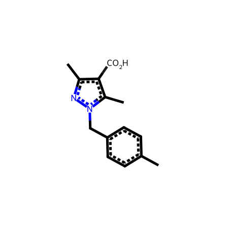 Cc1ccc(Cn2nc(C)c(C(=O)O)c2C)cc1